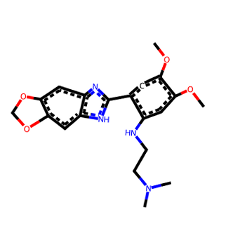 COc1cc(NCCN(C)C)c(-c2nc3cc4c(cc3[nH]2)OCO4)cc1OC